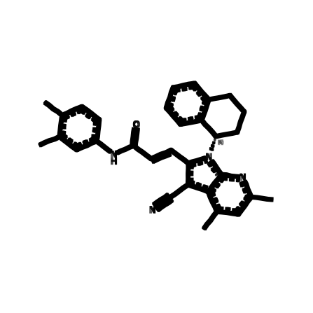 Cc1cc(C)c2c(C#N)c(C=CC(=O)Nc3ccc(C)c(C)c3)n([C@H]3CCCc4ccccc43)c2n1